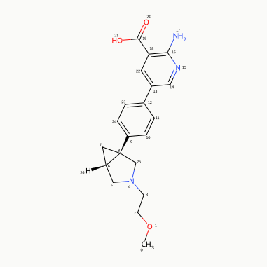 COCCN1C[C@@H]2C[C@]2(c2ccc(-c3cnc(N)c(C(=O)O)c3)cc2)C1